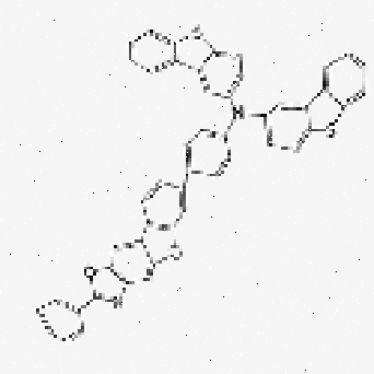 c1ccc(-c2nc3cc4oc5cc(-c6ccc(N(c7ccc8sc9ccccc9c8c7)c7ccc8sc9ccccc9c8c7)cc6)ccc5c4cc3o2)cc1